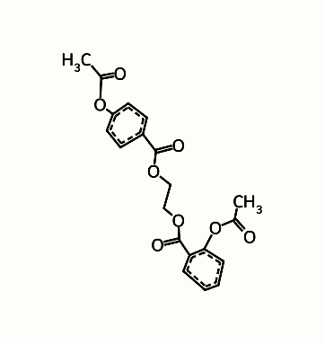 CC(=O)Oc1ccc(C(=O)OCCOC(=O)c2ccccc2OC(C)=O)cc1